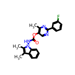 Cc1nc(-c2cccc(F)c2)ncc1OC(=O)Nn1c(C)c(C)c2ccccc21